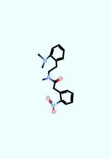 CN(CCc1ccccc1N(C)C)C(=O)Cc1ccccc1[N+](=O)[O-]